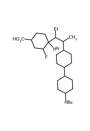 CCCCC1CCC(C2CCC(C(C)C(CC)C3(CCC)CCC(C(=O)O)CC3F)CC2)CC1